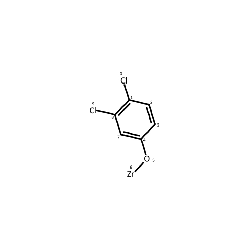 Clc1ccc([O][Zr])cc1Cl